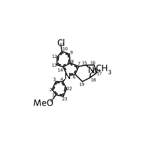 COc1ccc(-n2c3c(c4cc(Cl)ccc42)C2CCC(C3)N2C)cc1